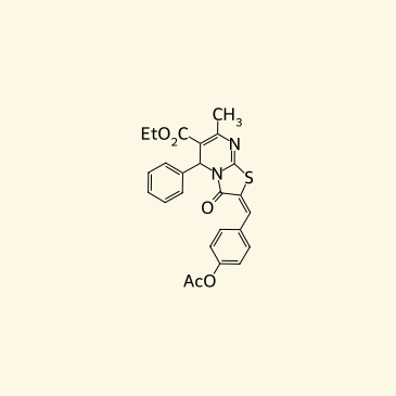 CCOC(=O)C1=C(C)N=c2sc(=Cc3ccc(OC(C)=O)cc3)c(=O)n2C1c1ccccc1